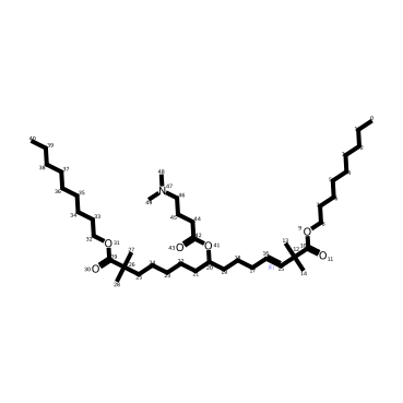 CCCCCCCCCOC(=O)C(C)(C)/C=C/CCCC(CCCCCC(C)(C)C(=O)OCCCCCCCCC)OC(=O)CCCN(C)C